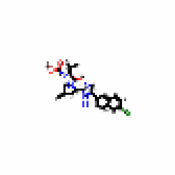 C=C1C[C@@H](C2NC=C(c3ccc4cc(Br)ccc4c3)N2)N(C(=O)[C@@H](NC(=O)OC)C(C)C)C1